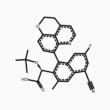 Cc1cc2c(C#N)cc(F)cc2c(-c2ccc3c4c(ccnc24)CCO3)c1[C@H](OC(C)(C)C)C(=O)O